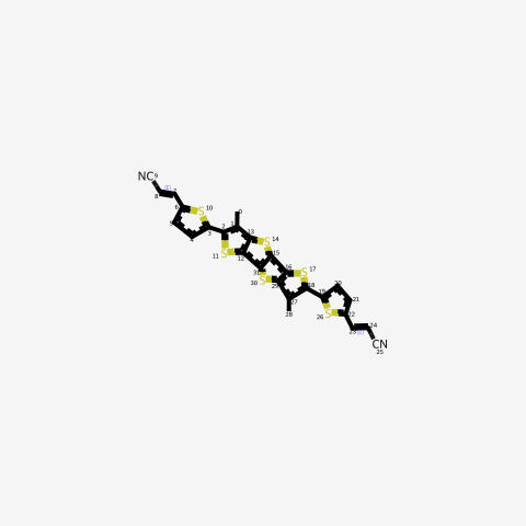 Cc1c(-c2ccc(/C=C/C#N)s2)sc2c1sc1c3sc(-c4ccc(/C=C/C#N)s4)c(C)c3sc21